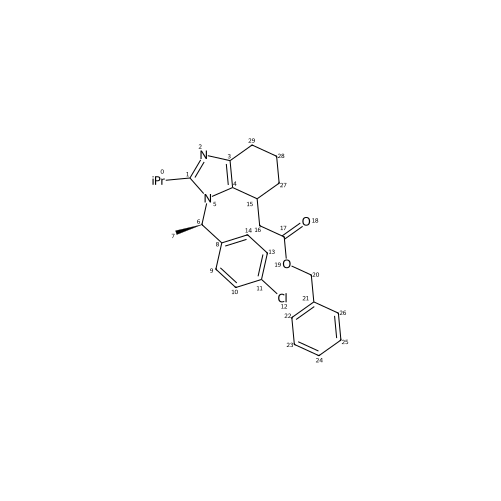 CC(C)c1nc2c(n1[C@H](C)c1ccc(Cl)cc1)C(CC(=O)OCc1ccccc1)CCC2